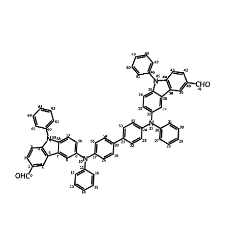 O=Cc1ccc2c(c1)c1cc(N(c3ccccc3)c3ccc(-c4ccc(N(c5ccccc5)c5ccc6c(c5)c5cc(C=O)ccc5n6-c5ccccc5)cc4)cc3)ccc1n2-c1ccccc1